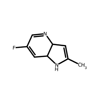 CC1=CC2N=CC(F)=CC2N1